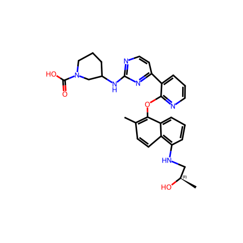 Cc1ccc2c(NC[C@@H](C)O)cccc2c1Oc1ncccc1-c1ccnc(NC2CCCN(C(=O)O)C2)n1